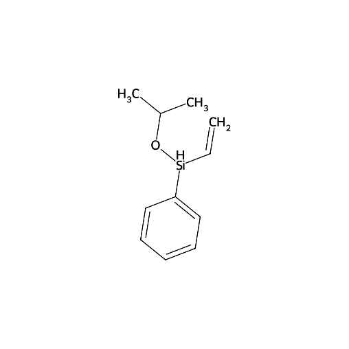 C=C[SiH](OC(C)C)c1ccccc1